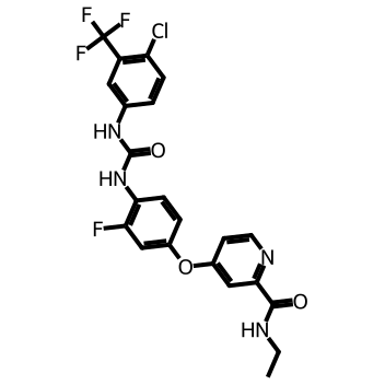 CCNC(=O)c1cc(Oc2ccc(NC(=O)Nc3ccc(Cl)c(C(F)(F)F)c3)c(F)c2)ccn1